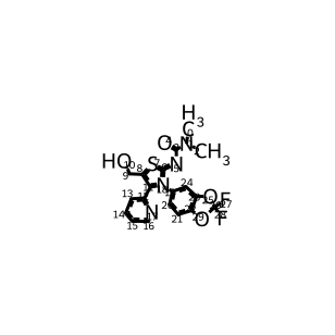 CN(C)C(=O)N=c1sc(CO)c(-c2ccccn2)n1-c1ccc2c(c1)OC(F)(F)O2